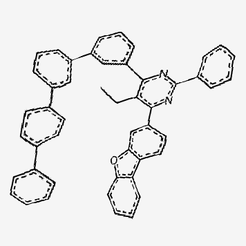 CCc1c(-c2cccc(-c3cccc(-c4ccc(-c5ccccc5)cc4)c3)c2)nc(-c2ccccc2)nc1-c1ccc2c(c1)oc1ccccc12